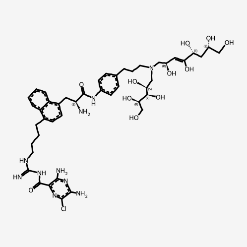 N=C(NCCCCc1ccc(C[C@H](N)C(=O)Nc2ccc(CCCN(C[C@H](O)C=C(O)[C@H](O)C[C@H](O)CO)C[C@H](O)[C@@H](O)[C@H](O)CO)cc2)c2ccccc12)NC(=O)c1nc(Cl)c(N)nc1N